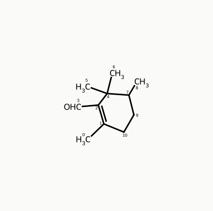 CC1=C(C=O)C(C)(C)C(C)CC1